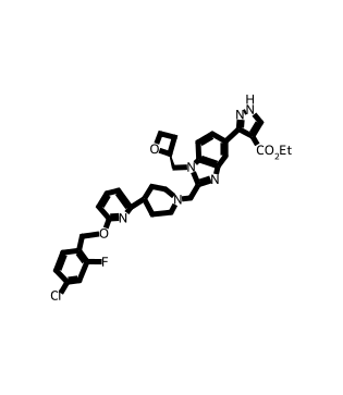 CCOC(=O)c1c[nH]nc1-c1ccc2c(c1)nc(CN1CCC(c3cccc(OCc4ccc(Cl)cc4F)n3)CC1)n2C[C@@H]1CCO1